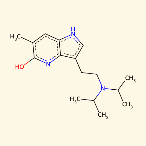 Cc1cc2[nH]cc(CCN(C(C)C)C(C)C)c2nc1O